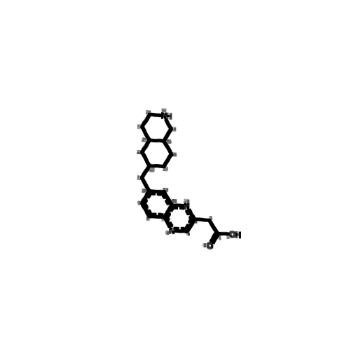 O=C(O)Cc1cnc2ccc(CC3CCC4CNCCC4C3)cc2n1